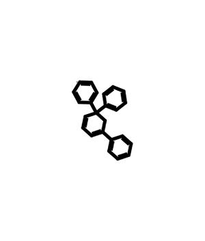 [c]1ccc(C2(c3ccccc3)C=CC=C(c3ccccc3)C2)cc1